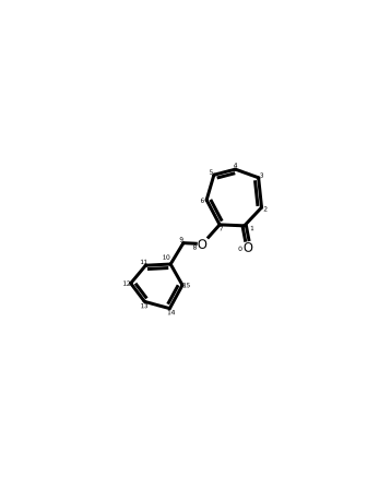 O=c1cccccc1OCc1ccccc1